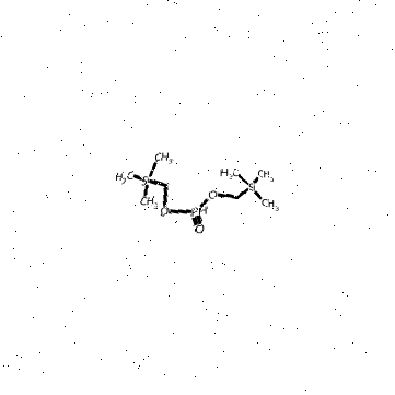 C[Si](C)(C)CO[PH](=O)OC[Si](C)(C)C